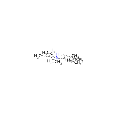 C=C(C)C(CCCCC)CCC(NCC1CCC(CCCC(C)(C)C(C)(C)C(=C)C)CC1)C(=C)C